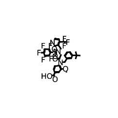 COc1cc(C(=O)O)ccc1N(Cc1cccc(C(C)(C)C)c1)C(=O)CN(Cc1cnccc1C(F)(F)F)S(=O)(=O)c1c(F)c(F)c(F)c(F)c1F